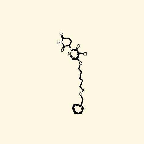 O=C1CCC(n2ncc(OCCCCCCOCc3ccccc3)c(Cl)c2=O)C(=O)N1